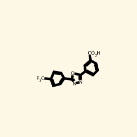 O=C(O)c1cccc(-c2nnc(-c3ccc(C(F)(F)F)cc3)o2)c1